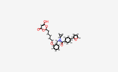 O=C1C=C(O)OC(CCCCCOc2ccccc2CN(C(=O)c2ccc(-c3ccco3)cc2)C2CC2)O1